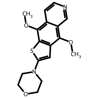 COc1c2cnccc2c(OC)c2sc(N3CCOCC3)cc12